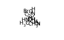 CC(Nc1nc2c(C#Cc3cccnc3)c[nH]c(=O)c2c2cc(Br)ccc12)C(C)(C)C